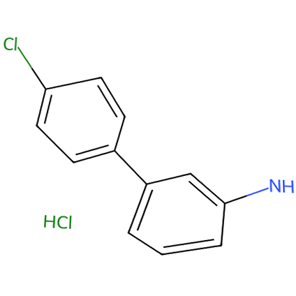 Cl.Nc1cccc(-c2ccc(Cl)cc2)c1